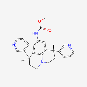 COC(=O)Nc1cc2c3c(c1)[C@](C)(c1cccnc1)CCN3CC[C@@]2(C)c1cccnc1